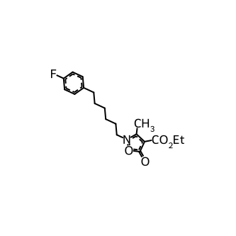 CCOC(=O)c1c(C)n(CCCCCCc2ccc(F)cc2)oc1=O